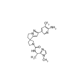 CC(NC(=O)N1CCC2(CCn3nc(-c4cnc(N)c(C(F)(F)F)c4)cc32)C1)c1nccn1C